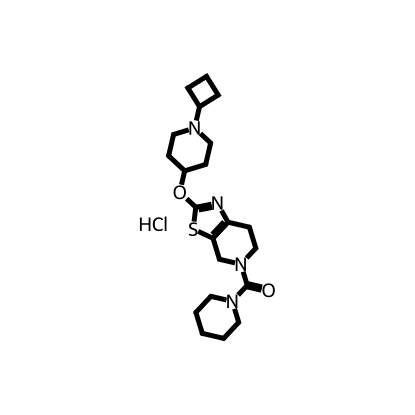 Cl.O=C(N1CCCCC1)N1CCc2nc(OC3CCN(C4CCC4)CC3)sc2C1